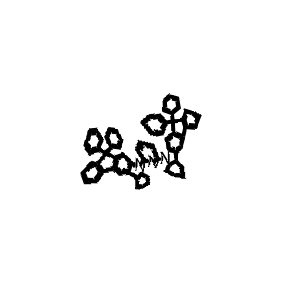 c1ccc(C2(c3ccccc3)c3ccccc3-c3cc4c5ccccc5n(-c5cccc(-n6c7ccccc7c7cc8c(cc76)C(c6ccccc6)(c6ccccc6)c6ccccc6-8)n5)c4cc32)cc1